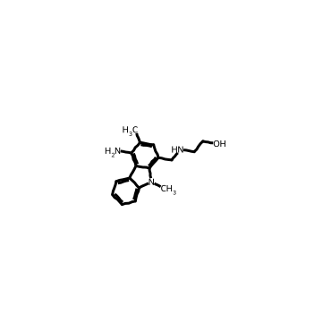 Cc1cc(CNCCO)c2c(c1N)c1ccccc1n2C